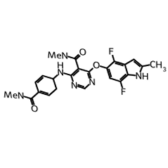 CNC(=O)C1=CCC(Nc2ncnc(Oc3cc(F)c4[nH]c(C)cc4c3F)c2C(=O)NC)C=C1